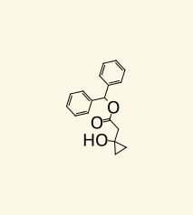 O=C(CC1(O)CC1)OC(c1ccccc1)c1ccccc1